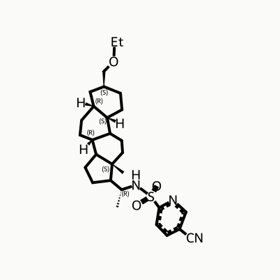 CCOC[C@H]1CC[C@@H]2C3CC[C@@]4(C)C(CCC4[C@@H](C)NS(=O)(=O)c4ccc(C#N)cn4)[C@@H]3CC[C@@H]2C1